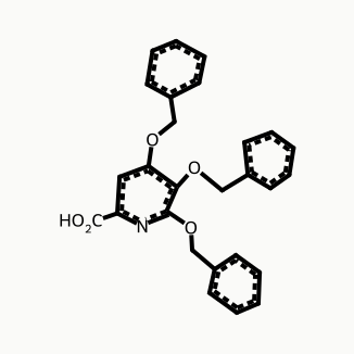 O=C(O)c1cc(OCc2ccccc2)c(OCc2ccccc2)c(OCc2ccccc2)n1